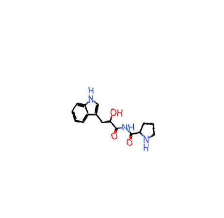 O=C(NC(=O)C1CCCN1)C(O)Cc1c[nH]c2ccccc12